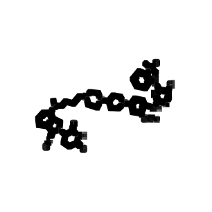 COc1cc(N2CCC(N3CCN(CCCCN(C)c4cccc5c4CN(C4CCC(=O)NC4=O)C5=C=O)CC3)CC2)ccc1Nc1ncc(Cl)c(Nc2ccccc2P(C)(C)=O)n1